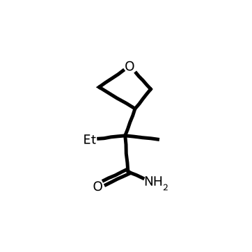 CCC(C)(C(N)=O)C1COC1